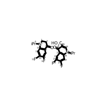 CC(C)N1CCC(=O)c2cc(F)c(F)cc21.CC(C)n1cc(C(=O)O)c(=O)c2cc(F)c(F)cc21